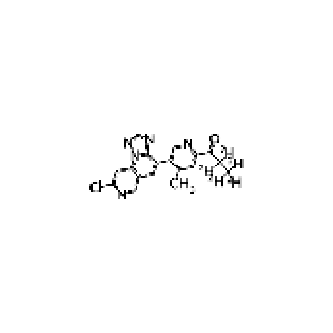 [2H]C([2H])([2H])C([2H])([2H])C(=O)c1cc(C)c(-c2cc3cnc(Cl)cc3n3ncnc23)cn1